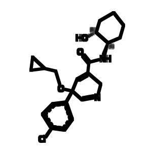 O=C(N[C@@H]1CCCC[C@H]1O)C1=CC(OCC2CC2)(c2ccc(Cl)cc2)C=NC1